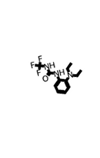 CCN(CC)c1ccccc1NC(=O)NC(F)(F)F